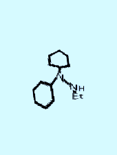 CCNN(C1CCCCC1)C1CCCCC1